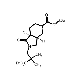 CCOC(=O)C(C)(C)CN1C[C@@H]2CN(C(=O)OC(C)(C)C)CC[C@]2(F)C1=O